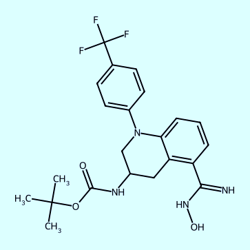 CC(C)(C)OC(=O)NC1Cc2c(C(=N)NO)cccc2N(c2ccc(C(F)(F)F)cc2)C1